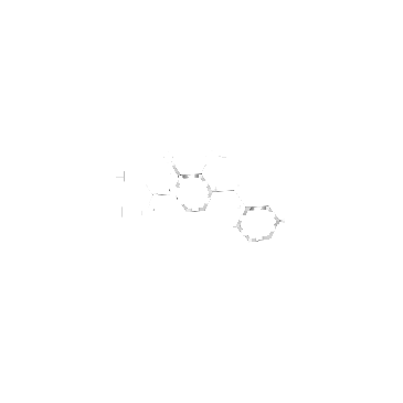 Cc1c(Cc2ccccc2)ccn(C(C)C)c1=O